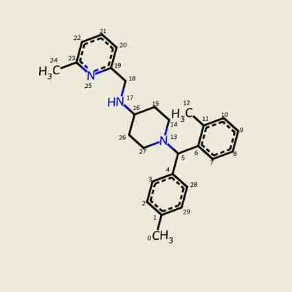 Cc1ccc(C(c2ccccc2C)N2CCC(NCc3cccc(C)n3)CC2)cc1